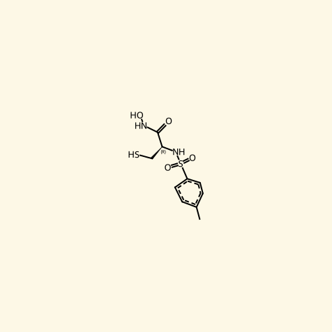 Cc1ccc(S(=O)(=O)N[C@@H](CS)C(=O)NO)cc1